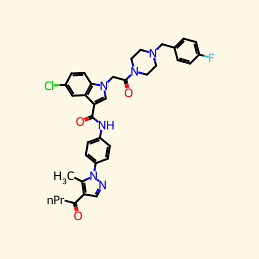 CCCC(=O)c1cnn(-c2ccc(NC(=O)c3cn(CC(=O)N4CCN(Cc5ccc(F)cc5)CC4)c4ccc(Cl)cc34)cc2)c1C